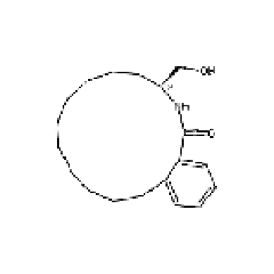 O=C1N[C@H](CO)CCCCCCCCCCc2ccccc21